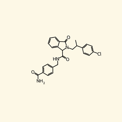 CC(CN1C(=O)c2ccccc2C1C(=O)NCc1ccc(C(N)=O)cc1)c1ccc(Cl)cc1